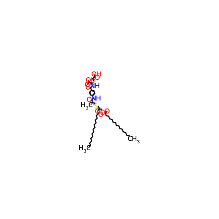 CCCCCCCCCCCCCCCC(=O)OC[C@H](CSC[C@H](C)C(=O)Nc1ccc(C(=O)N[C@@H](CCC(=O)O)C(=O)O)cc1)OC(=O)CCCCCCCCCCCCCCC